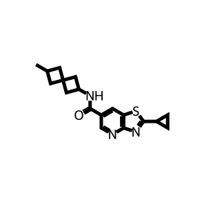 CC1CC2(C1)CC(NC(=O)c1cnc3nc(C4CC4)sc3c1)C2